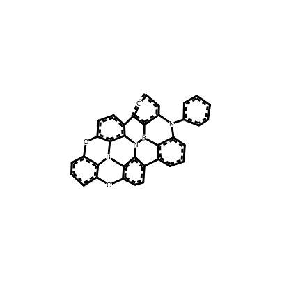 c1ccc(N2c3cccc4c3B3c5c(cccc52)-c2ccc5c6c2N3c2c-4ccc3c2B6c2c(cccc2O5)O3)cc1